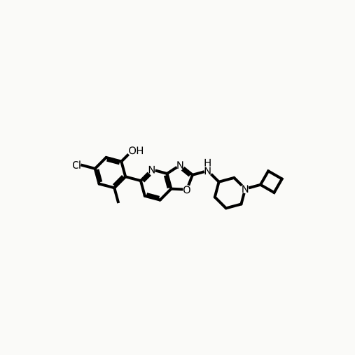 Cc1cc(Cl)cc(O)c1-c1ccc2oc(NC3CCCN(C4CCC4)C3)nc2n1